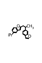 CC(C)c1ccc2oc(CC(C)c3ccc4ccoc4c3)cc2c1